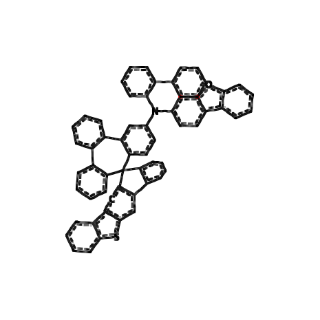 c1ccc(-c2ccccc2N(c2ccc3c(c2)-c2ccccc2-c2ccccc2C32c3ccccc3-c3cc4sc5ccccc5c4cc32)c2ccc3c(c2)oc2ccccc23)cc1